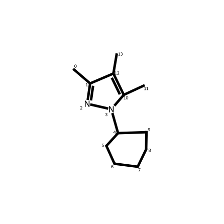 Cc1nn(C2CCCCC2)c(C)c1C